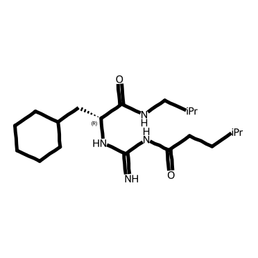 CC(C)CCC(=O)NC(=N)N[C@H](CC1CCCCC1)C(=O)NCC(C)C